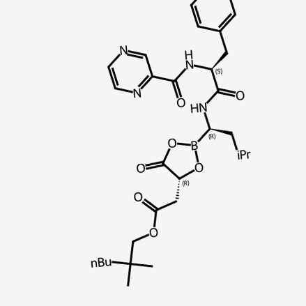 CCCCC(C)(C)COC(=O)C[C@H]1OB([C@H](CC(C)C)NC(=O)[C@H](Cc2ccccc2)NC(=O)c2cnccn2)OC1=O